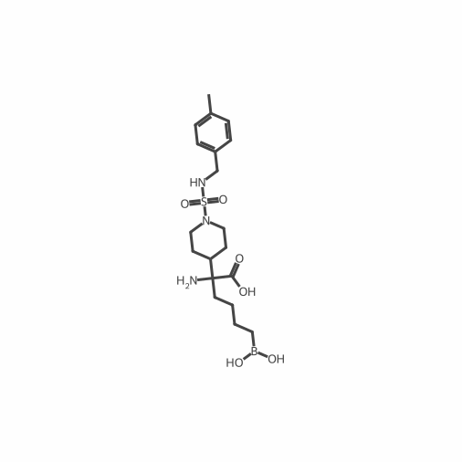 Cc1ccc(CNS(=O)(=O)N2CCC(C(N)(CCCCB(O)O)C(=O)O)CC2)cc1